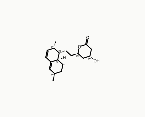 C[C@H]1C=C2C=C[C@H](C)[C@H](CC[C@@H]3C[C@@H](O)CC(=O)O3)[C@H]2[CH]C1